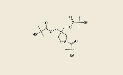 CC(C)(S)C(=O)OCC(CO)(COC(=O)C(C)(C)S)COC(=O)C(C)(C)S